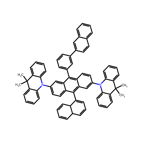 CC1(C)c2ccccc2N(c2ccc3c(-c4cccc(-c5ccc6ccccc6c5)c4)c4cc(N5c6ccccc6C(C)(C)c6ccccc65)ccc4c(C4=CC=CC5C=CC=CC45)c3c2)c2ccccc21